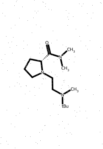 CN(C)C(=O)[C@H]1CCCN1CCN(C)C(C)(C)C